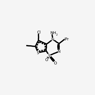 Cc1sc2c(c1Cl)N(N)C(C(C)C)=NS2(=O)=O